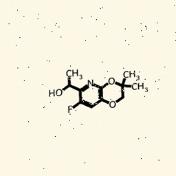 CC(O)c1nc2c(cc1F)OCC(C)(C)O2